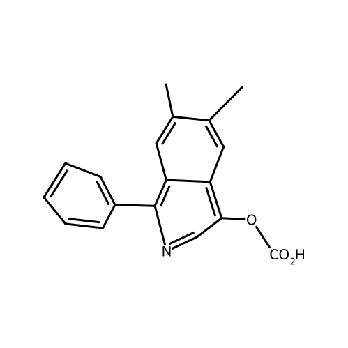 Cc1cc2c(OC(=O)O)cnc(-c3ccccc3)c2cc1C